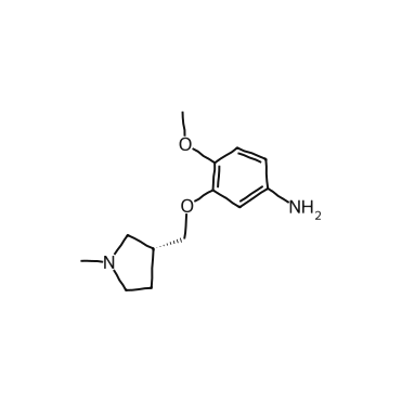 COc1ccc(N)cc1OC[C@@H]1CCN(C)C1